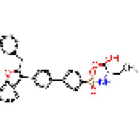 CCC(NS(=O)(=O)c1ccc(-c2ccc(-c3c(Cc4ccccc4)oc4ccccc34)cc2)cc1)C(=O)O